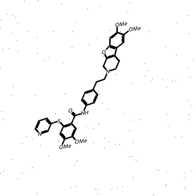 COc1cc(Sc2cccnc2)c(C(=O)Nc2ccc(CCN3CCc4c(oc5cc(OC)c(OC)cc45)C3)cc2)cc1OC